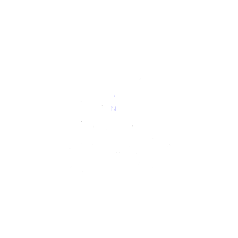 C=C/C=C(\C=C/C)n1c2ccccc2c2c(-c3ccccc3)cc(-c3ccccc3)cc21